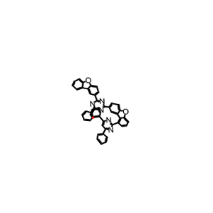 c1ccc(-c2cc(-c3ccccc3)nc(-c3cccc4oc5ccc(-c6nc(-c7ccccc7)nc(-c7ccc8oc9ccccc9c8c7)n6)cc5c34)n2)cc1